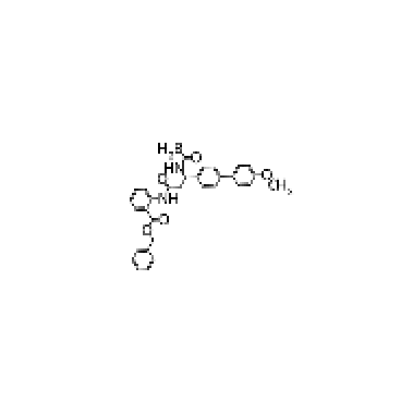 BC(=O)NC(CC(=O)Nc1ccccc1C(=O)OCc1ccccc1)c1ccc(-c2ccc(OC)cc2)cc1